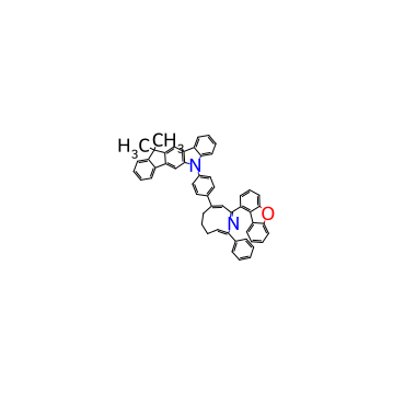 CC1(C)c2ccccc2-c2cc3c(cc21)c1ccccc1n3-c1ccc(/C2=C/C(c3cccc4oc5ccccc5c34)=N\C(c3ccccc3)=C\CCC2)cc1